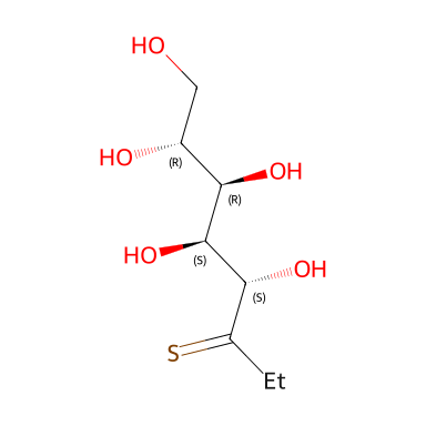 CCC(=S)[C@@H](O)[C@@H](O)[C@H](O)[C@H](O)CO